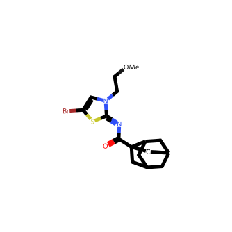 COCCn1cc(Br)sc1=NC(=O)C12CC3CC(CC1C3)C2